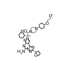 COCCOc1ccc(N2CCN(C(O)C(C)(c3ccccc3)n3cc4c(nc(N)n5nc(-c6ccco6)nc45)n3)CC2)cc1